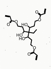 C=CC(=O)OCCC(O)C(CC)(C(O)CCOC(=O)C=C)C(O)CCOC(=O)C=C